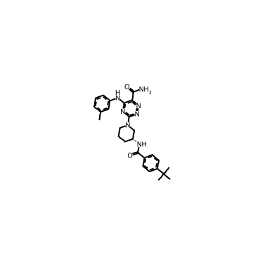 Cc1cccc(Nc2nc(N3CCC[C@@H](NC(=O)c4ccc(C(C)(C)C)cc4)C3)nnc2C(N)=O)c1